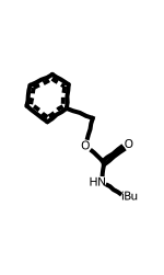 [CH2]C(CC)NC(=O)OCc1ccccc1